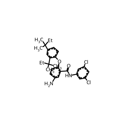 CCC(C)(C)c1ccc(Oc2ccc(N)cc2C(=O)Nc2cc(Cl)cc(Cl)c2)c(C(C)(C)CC)c1